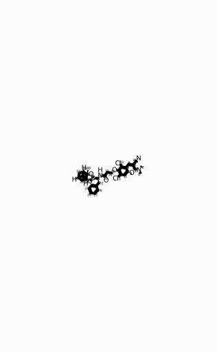 CN(C)C(=O)C(C#N)=Cc1ccc(Cl)c(OCCC(=O)N[C@@H](Cc2ccccc2)B2O[C@@H]3C[C@@H]4C[C@@H](C4(C)C)[C@]3(C)O2)c1Cl